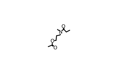 CCC(=O)N(C)CCCOC(C)=O